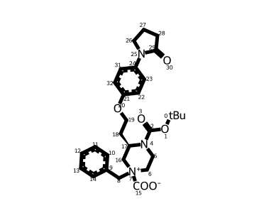 CC(C)(C)OC(=O)N1CC[N+](Cc2ccccc2)(C(=O)[O-])C[C@H]1CCOc1ccc(N2CCCC2=O)cc1